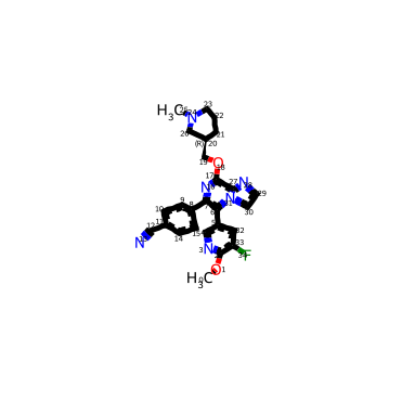 COc1ncc(-c2c(-c3ccc(C#N)cc3)nc(OC[C@@H]3CCCN(C)C3)c3nccn23)cc1F